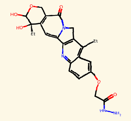 CCc1c2c(nc3ccc(OCC(=O)NN)cc13)-c1cc3c(c(=O)n1C2)COC(O)[C@]3(O)CC